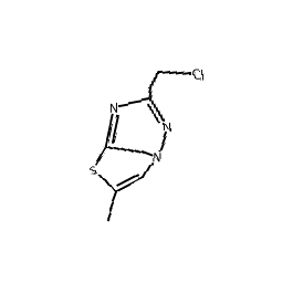 Cc1cn2nc(CCl)nc2s1